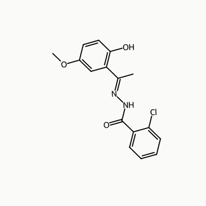 COc1ccc(O)c(/C(C)=N/NC(=O)c2ccccc2Cl)c1